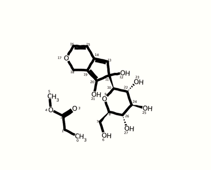 CCC(=O)OC.OC[C@H]1O[C@@H](C2(O)C=C3C=COCC3=C2O)[C@H](O)[C@@H](O)[C@@H]1O